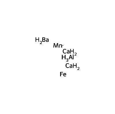 [AlH3].[BaH2].[CaH2].[CaH2].[Fe].[Mn]